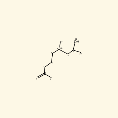 C=C(C)CCC[C@H](C)CC(C)O